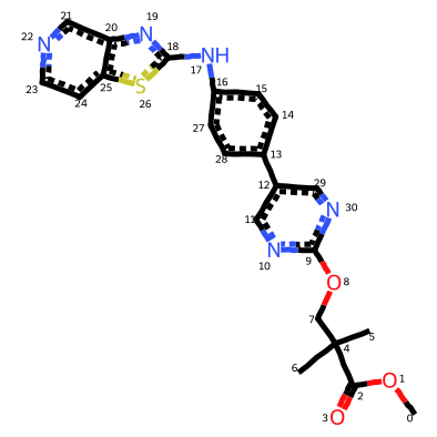 COC(=O)C(C)(C)COc1ncc(-c2ccc(Nc3nc4cnccc4s3)cc2)cn1